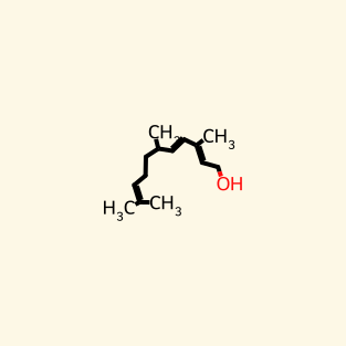 CC(C)=CCCC(C)C=CC(C)=CCO